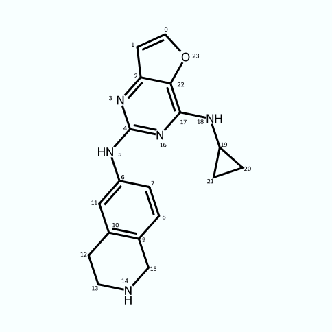 c1cc2nc(Nc3ccc4c(c3)CCNC4)nc(NC3CC3)c2o1